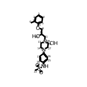 Cc1ccccc1OCC(O)CN1CCN(c2ccc(NS(C)(=O)=O)cc2)CC1.Cl